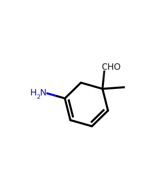 CC1(C=O)C=CC=C(N)C1